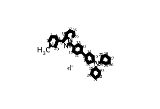 C[n+]1cccc(-c2nc(-c3ccc(-c4ccc(N(c5ccccc5)c5ccccc5)cc4)cc3)n3ccccc23)c1.[I-]